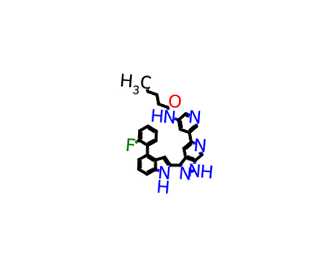 CCCCC(=O)Nc1cncc(-c2cc3c(-c4cc5c(-c6ccccc6F)cccc5[nH]4)n[nH]c3cn2)c1